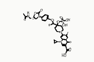 CC(=O)NC[C@H]1CN(c2ccc(OC(F)C3(OP(=O)(O)O)CCN(c4cc5c(cc4F)c(=O)c(C(=O)O)cn5C4CC4)CC3)cc2)C(=O)O1